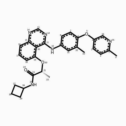 Cc1ccc(Oc2ccc(Nc3ncnc4cccc(O[C@H](C)C(=O)NC5CCC5)c34)cc2C)cn1